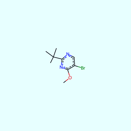 COc1nc(C(C)(C)C)ncc1Br